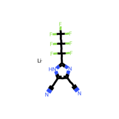 N#Cc1nc(C(F)(F)C(F)(F)C(F)(F)F)[nH]c1C#N.[Li]